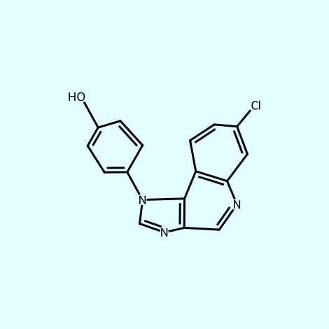 Oc1ccc(-n2cnc3cnc4cc(Cl)ccc4c32)cc1